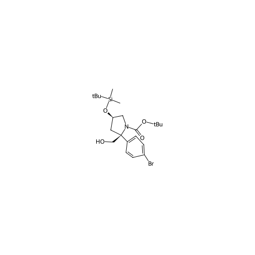 CC(C)(C)OC(=O)N1C[C@H](O[Si](C)(C)C(C)(C)C)C[C@@]1(CO)c1ccc(Br)cc1